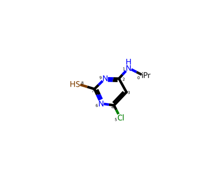 CC(C)Nc1cc(Cl)nc(S)n1